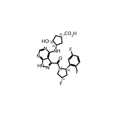 O=C(O)[C@H]1C[C@@H](O)[C@H](Nc2ncnc3[nH]nc(C(=O)N4C[C@@H](F)C[C@@H]4c4cc(F)ccc4F)c23)C1